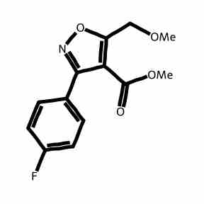 COCc1onc(-c2ccc(F)cc2)c1C(=O)OC